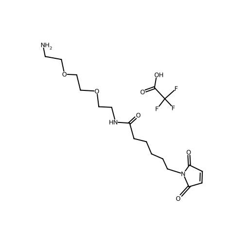 NCCOCCOCCNC(=O)CCCCCN1C(=O)C=CC1=O.O=C(O)C(F)(F)F